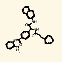 Nc1ccccc1NC(=O)c1ccc(C(NC(=O)CCc2ccccc2)C(=O)Nc2ccc3ccccc3c2)cc1